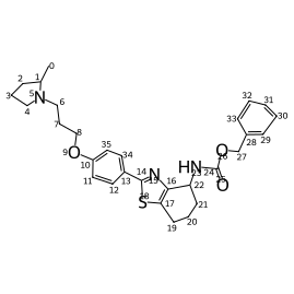 CC1CCCN1CCCOc1ccc(-c2nc3c(s2)CCCC3NC(=O)OCc2ccccc2)cc1